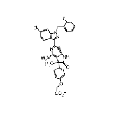 CC1(c2ccc(OCC(=O)O)cc2)C(=O)Nc2nc(-c3nn(Cc4ccccc4F)c4cc(Cl)ccc34)nc(N)c21